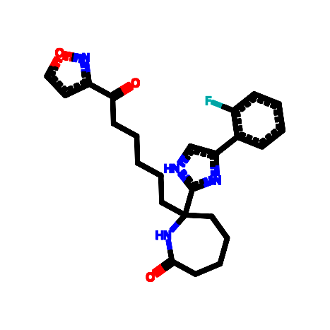 O=C1CCCCC(CCCCCC(=O)c2ccon2)(c2nc(-c3ccccc3F)c[nH]2)N1